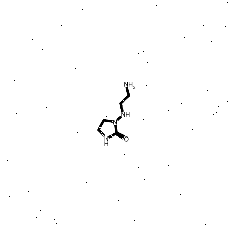 NCCNN1CCNC1=O